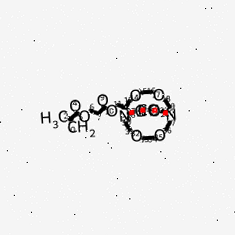 C=C(C)C(=O)OCCC(=O)OCC1COCCOCCN2CCOCCOCCN1CCOCCOCC2